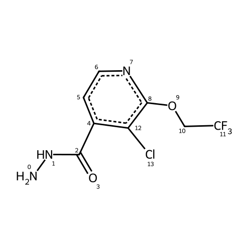 NNC(=O)c1ccnc(OCC(F)(F)F)c1Cl